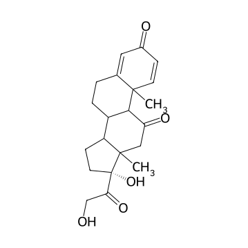 CC12C=CC(=O)C=C1CCC1C2C(=O)CC2(C)C1CC[C@]2(O)C(=O)CO